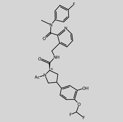 CC(=O)N1CC(c2ccc(OC(F)F)c(O)c2)C[C@@H]1C(=O)NCc1cccnc1C(=O)N(C)c1ccc(F)cc1